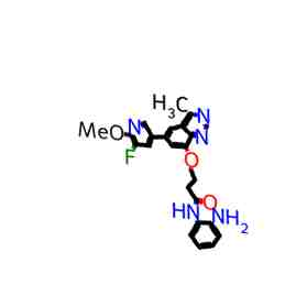 COc1ncc(-c2cc(OCCCC(=O)Nc3ccccc3N)c3ncnc(C)c3c2)cc1F